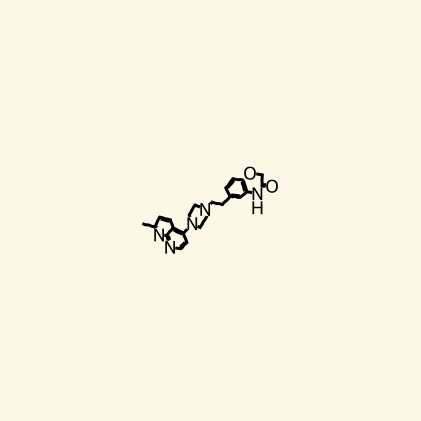 Cc1ccc2c(N3CCN(CCc4ccc5c(c4)NC(=O)CO5)CC3)ccnc2n1